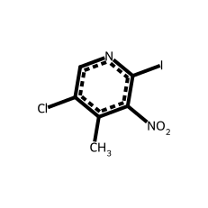 Cc1c(Cl)cnc(I)c1[N+](=O)[O-]